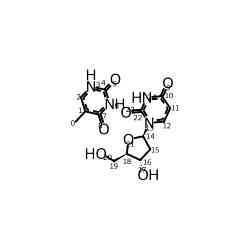 Cc1c[nH]c(=O)[nH]c1=O.O=c1ccn([C@H]2C[C@H](O)[C@@H](CO)O2)c(=O)[nH]1